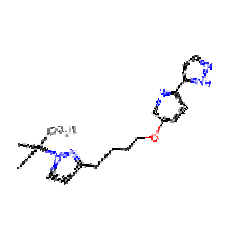 CC(C)(C(=O)O)n1ccc(CCCCOc2ccc(-c3ccn[nH]3)nc2)n1